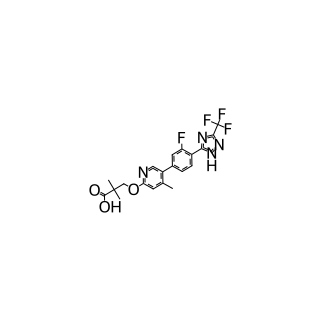 Cc1cc(OCC(C)(C)C(=O)O)ncc1-c1ccc(-c2nc(C(F)(F)F)n[nH]2)c(F)c1